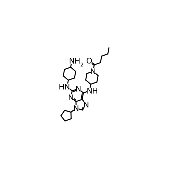 CCCCC(=O)N1CCC(Nc2nc(NC3CCC(N)CC3)nc3c2ncn3C2CCCC2)CC1